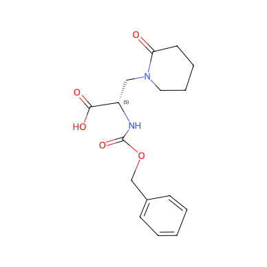 O=C(N[C@@H](CN1CCCCC1=O)C(=O)O)OCc1ccccc1